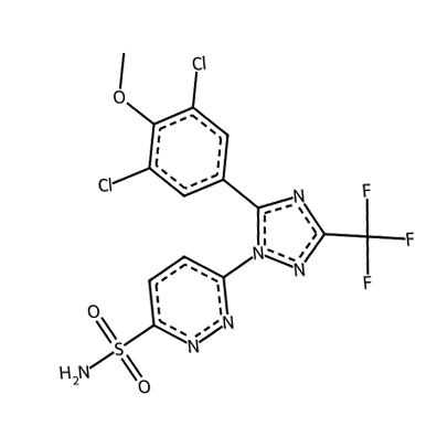 COc1c(Cl)cc(-c2nc(C(F)(F)F)nn2-c2ccc(S(N)(=O)=O)nn2)cc1Cl